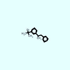 CCC(C)(C)c1cccc(C(C)Cc2ccccc2)c1